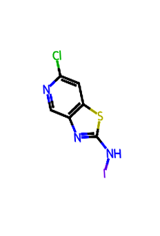 Clc1cc2sc(NI)nc2cn1